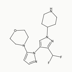 FC(F)c1nn(C2CCNCC2)cc1-n1nccc1N1CCOCC1